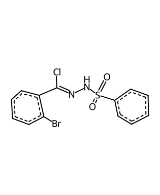 O=S(=O)(N/N=C(\Cl)c1ccccc1Br)c1ccccc1